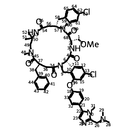 COC[C@@H]1NC(=O)[C@H](C)N(Cc2ccc(Cl)cc2Oc2ccc(-c3cnc(CN(C)C)n3C)cc2)C(=O)C[C@@H](Cc2ccccc2)C(=O)N(C)CC(C)(C)NC(=O)C[C@H](Cc2ccc(Cl)cc2)N(C)C1=O